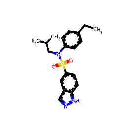 CCc1ccc(N(CC(C)C)S(=O)(=O)c2ccc3[nH]ncc3c2)cc1